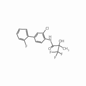 CC(O)(C(=O)Nc1ccc(-c2ccccc2F)cc1Cl)C(F)(F)F